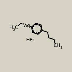 Br.CCCCc1cc[c]([Mg][CH2]C)cc1